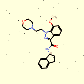 COc1cccc2c(C(=O)N[C@@H]3CCc4ccccc43)nn(CCN3CCOCC3)c12